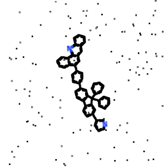 c1ccc(C2(c3ccccc3)c3cc(-c4ccc(-c5cc6cc7ccccc7nc6c6ccccc56)cc4)ccc3-c3ccc(-c4cccnc4)cc32)cc1